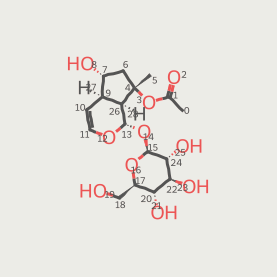 CC(=O)O[C@@]1(C)C[C@@H](O)[C@@H]2C=CO[C@@H](O[C@@H]3O[C@H](CO)[C@@H](O)[C@H](O)[C@H]3O)[C@@H]21